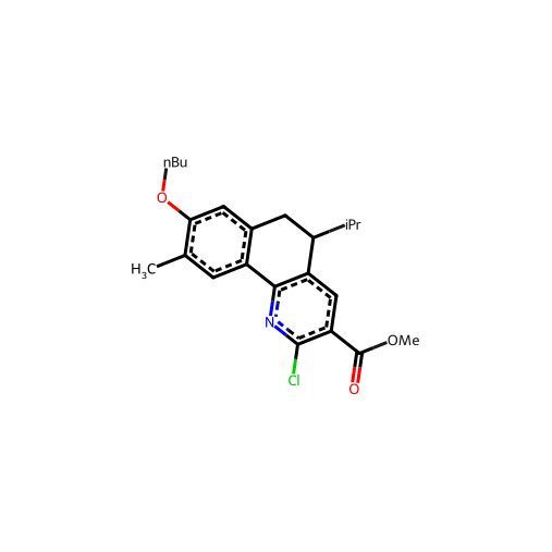 CCCCOc1cc2c(cc1C)-c1nc(Cl)c(C(=O)OC)cc1C(C(C)C)C2